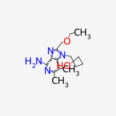 CCOCc1nc2c(N)nc(C)c(C)c2n1CC1(O)CCC1